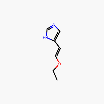 CCOC=Cc1cnc[nH]1